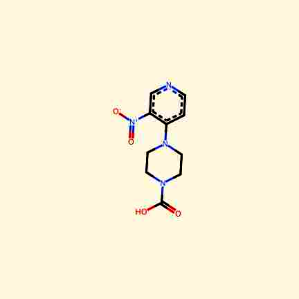 O=C(O)N1CCN(c2ccncc2[N+](=O)[O-])CC1